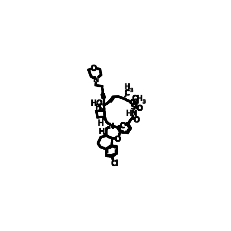 C[C@@H]1[C@@H](C)C/C=C/[C@](O)(C#CCCN2CCOCC2)[C@@H]2CC[C@H]2CN2C[C@H]3CCCc4cc(Cl)ccc4C3Oc3ccc(cc32)C(=O)NS1(=O)=O